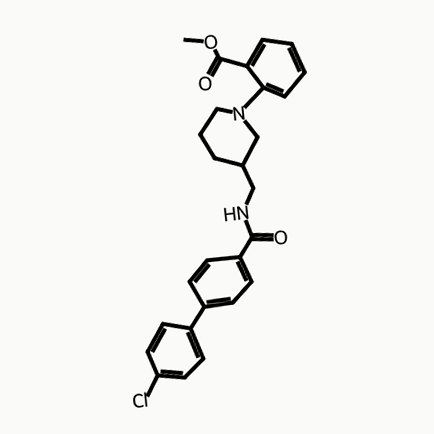 COC(=O)c1ccccc1N1CCCC(CNC(=O)c2ccc(-c3ccc(Cl)cc3)cc2)C1